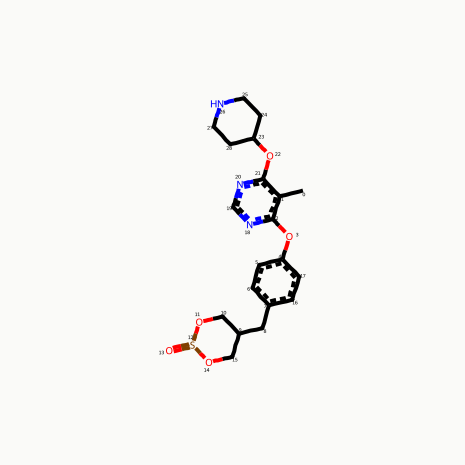 Cc1c(Oc2ccc(CC3COS(=O)OC3)cc2)ncnc1OC1CCNCC1